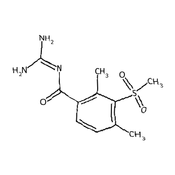 Cc1ccc(C(=O)N=C(N)N)c(C)c1S(C)(=O)=O